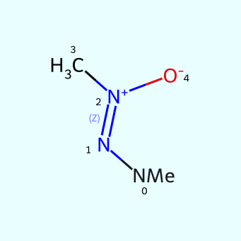 CN/N=[N+](/C)[O-]